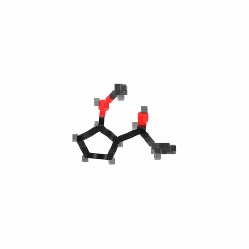 CCOC1CCCC1C(=O)NC